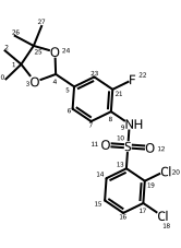 CC1(C)OC(c2ccc(NS(=O)(=O)c3cccc(Cl)c3Cl)c(F)c2)OC1(C)C